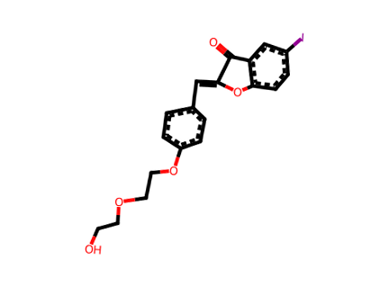 O=C1/C(=C/c2ccc(OCCOCCO)cc2)Oc2ccc(I)cc21